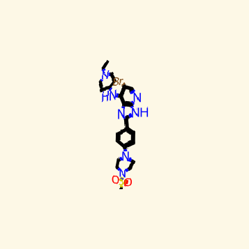 CCN1CCC(Nc2c(Br)cnc3[nH]c(-c4ccc(N5CCN(S(C)(=O)=O)CC5)cc4)nc23)CC1